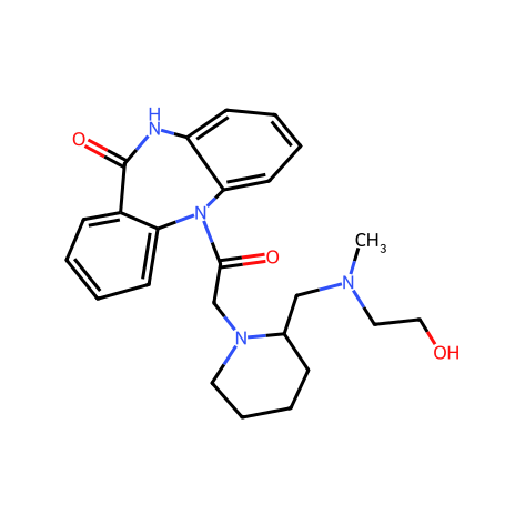 CN(CCO)CC1CCCCN1CC(=O)N1c2ccccc2NC(=O)c2ccccc21